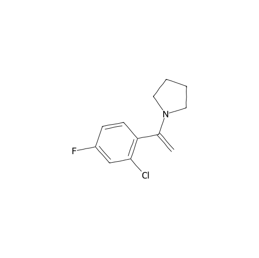 C=C(c1ccc(F)cc1Cl)N1CCCC1